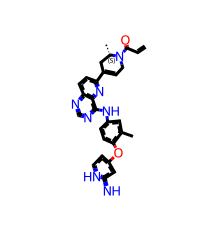 C=CC(=O)N1CC=C(c2ccc3ncnc(Nc4ccc(Oc5cc[nH]c(=N)c5)c(C)c4)c3n2)C[C@@H]1C